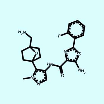 Cn1ncc(NC(=O)c2nc(-c3ccccc3F)sc2N)c1C12CCC(CN)(CC1)O2